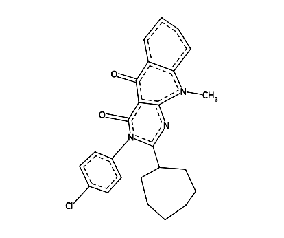 Cn1c2ccccc2c(=O)c2c(=O)n(-c3ccc(Cl)cc3)c(C3CCCCCC3)nc21